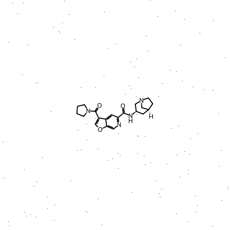 O=C(N[C@@H]1C[C@@H]2CCN(C2)C1)c1cc2c(C(=O)N3CCCC3)coc2cn1